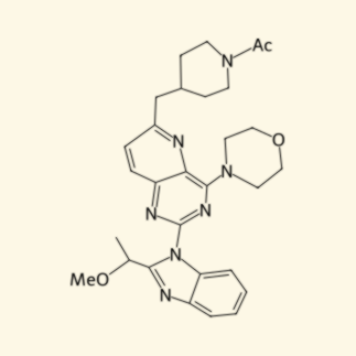 COC(C)c1nc2ccccc2n1-c1nc(N2CCOCC2)c2nc(CC3CCN(C(C)=O)CC3)ccc2n1